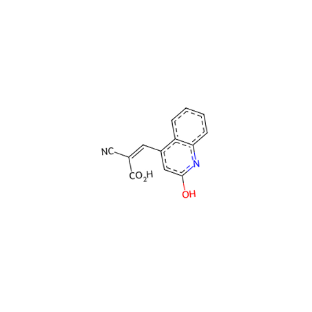 N#C/C(=C/c1cc(O)nc2ccccc12)C(=O)O